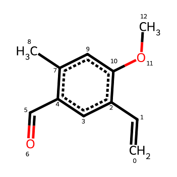 C=Cc1cc(C=O)c(C)cc1OC